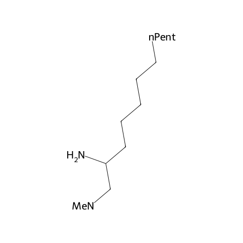 CCCCCCCCCCC(N)CNC